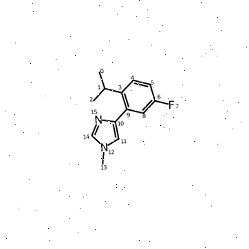 CC(C)c1ccc(F)cc1-c1cn(C)cn1